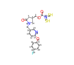 O=C(OC[C@@H]1CC(=O)N(Cc2ccc(Oc3ccc(F)cc3)nc2)C1)N(S)S